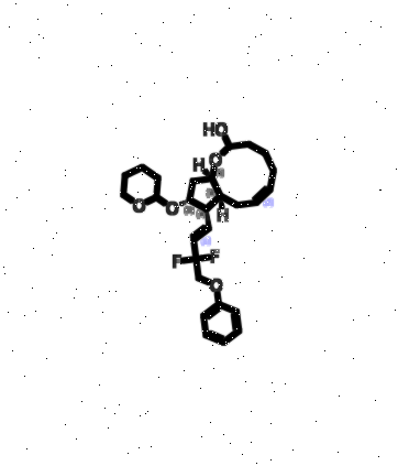 OC1CCC/C=C\C[C@@H]2[C@@H](/C=C/C(F)(F)COc3ccccc3)[C@H](OC3CCCCO3)C[C@@H]2O1